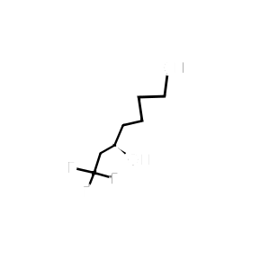 CCCCC[C@@H](O)CC(F)(F)F